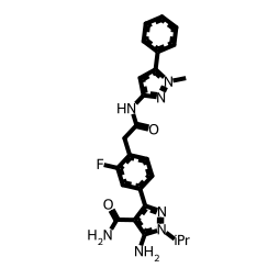 CC(C)n1nc(-c2ccc(CC(=O)Nc3cc(-c4ccccc4)n(C)n3)c(F)c2)c(C(N)=O)c1N